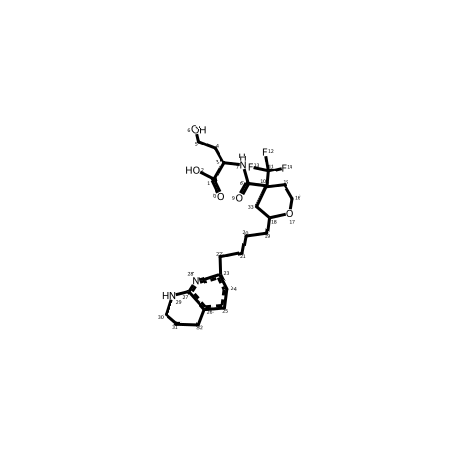 O=C(O)C(CCO)NC(=O)C1(C(F)(F)F)CCOC(CCCCc2ccc3c(n2)NCCC3)C1